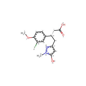 COc1ccc([C@H](CC(=O)O)Cc2cc(O)n(C)n2)cc1F